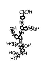 O=C(O)c1ccc(N=Nc2ccc(N=Nc3ccc(N=Nc4c(SOOO)cc5cc(Nc6nc(O)nc(O)n6)ccc5c4O)c4ccc(SOOO)cc34)c3ccc(SOOO)cc23)cc1